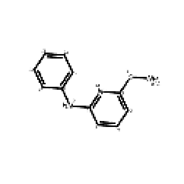 NSc1cccc(Nc2ccccc2)n1